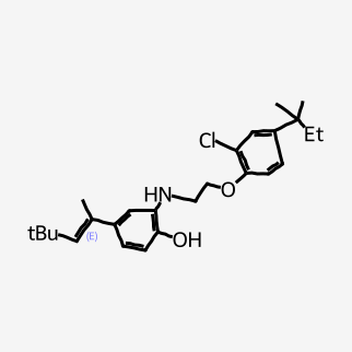 CCC(C)(C)c1ccc(OCCNc2cc(/C(C)=C/C(C)(C)C)ccc2O)c(Cl)c1